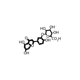 O=C(O)C1O[C@@H](Oc2cc(-c3cc(=O)c4c(O)cc(O)cc4o3)ccc2O)C(O)[C@@H](O)[C@@H]1O